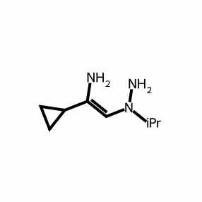 CC(C)N(N)/C=C(\N)C1CC1